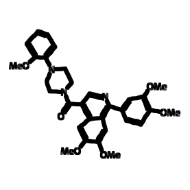 COc1ccc(-c2ncc(C(=O)N3CCN(c4ccccc4OC)CC3)c3cc(OC)c(OC)cc23)cc1OC